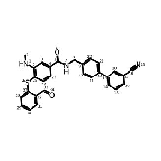 CNc1cc(C(=O)NCc2ccc(-c3cccc(C#N)c3)cc2)ccc1Sc1ccccc1C=O